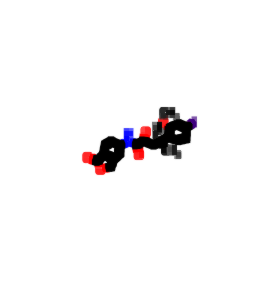 COc1cc(I)ccc1C(C)(C)CC(=O)C(=O)Nc1ccc2c(c1)COC2=O